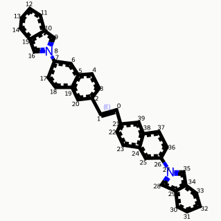 C(=C\c1ccc2cc(-n3cc4ccccc4c3)ccc2c1)/c1ccc2cc(-n3cc4ccccc4c3)ccc2c1